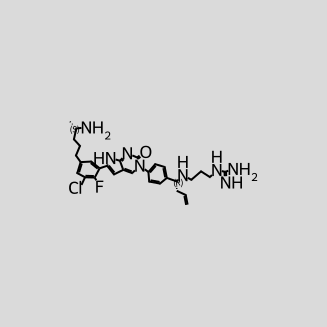 C=CC[C@@H](NCCCNC(=N)N)c1ccc(-n2cc3cc(-c4cc(CCC[C@H](C)N)cc(Cl)c4F)[nH]c3nc2=O)cc1